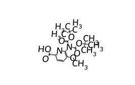 COc1ccc(C(=O)O)nc1N(C(=O)OC(C)(C)C)C(=O)OC(C)(C)C